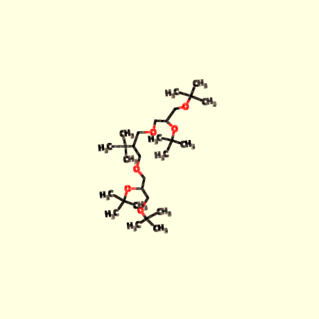 CC(C)(C)OCC(COCC(COCC(COC(C)(C)C)OC(C)(C)C)C(C)(C)C)OC(C)(C)C